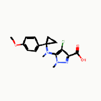 COc1ccc(C2(N(C)c3c(Cl)c(C(=O)O)nn3C)CC2)cc1